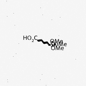 CO[Si](CC=CC=CC(=O)O)(OC)OC